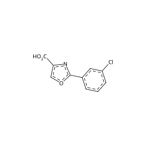 O=C(O)c1coc(-c2cccc(Cl)c2)n1